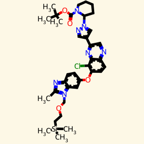 Cc1nc2ccc(Oc3ccc4ncc(-c5cnn(C6CCCCN6C(=O)OC(C)(C)C)c5)nc4c3Cl)cc2n1COCC[Si](C)(C)C